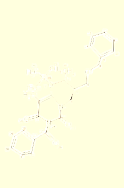 Cc1cn(C[C@H](COCc2ccccc2)[C@@H](C)O[Si](C)(C)C(C)(C)C)c(=O)n(C(=O)c2ccccc2)c1=O